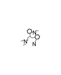 CCN(CC)CCC1Cc2c(C#N)cccc2N(CC)c2ccccc21